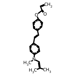 C=CC(=O)Oc1ccc(C=Cc2ccc(N(C)C=C(C)C)cc2)cc1